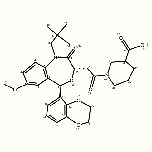 COc1ccc2c(c1)[C@H](c1cccc3c1OCCO3)O[C@@H](CC(=O)N1CCCC(C(=O)O)C1)C(=O)N2CC(C)(C)C